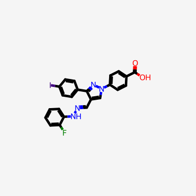 O=C(O)c1ccc(-n2cc(/C=N/Nc3ccccc3F)c(-c3ccc(I)cc3)n2)cc1